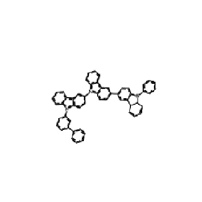 C1=CC2c3cc(-c4ccc5c(c4)c4ccccc4n5-c4ccc5c(c4)c4ccccc4n5-c4cccc(-c5ccccc5)c4)ccc3N(c3ccccc3)C2C=C1